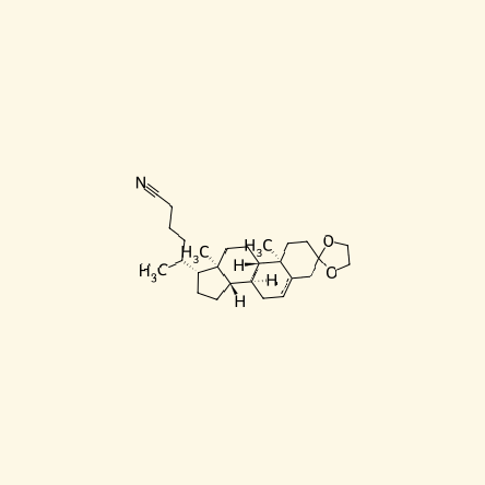 CC(CCCC#N)[C@H]1CC[C@H]2[C@@H]3CC=C4CC5(CC[C@]4(C)[C@H]3CC[C@]12C)OCCO5